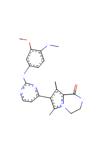 CNc1ccc(Nc2nccc(-c3c(C)c4n(c3C)CCNC4=O)n2)cc1OC